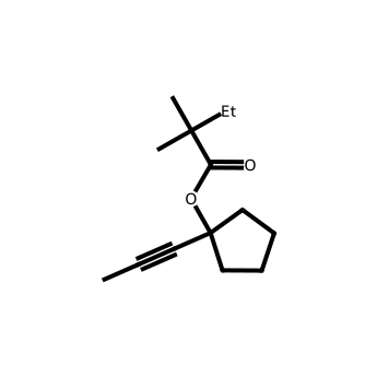 CC#CC1(OC(=O)C(C)(C)CC)CCCC1